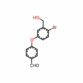 O=Cc1ccc(Oc2ccc(Br)c(CO)c2)cc1